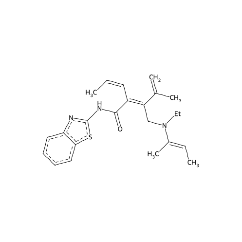 C=C(C)/C(CN(CC)/C(C)=C/C)=C(\C=C/C)C(=O)Nc1nc2ccccc2s1